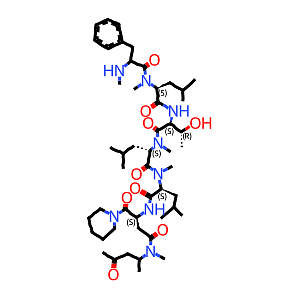 CNC(Cc1ccccc1)C(=O)N(C)[C@@H](CC(C)C)C(=O)N[C@H](C(=O)N(C)[C@@H](CC(C)C)C(=O)N(C)[C@@H](CC(C)C)C(=O)N[C@@H](CC(=O)N(C)C(C)CC(C)=O)C(=O)N1CCCCC1)[C@@H](C)O